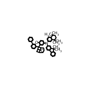 CC1(C)CCC(C)(C)c2cc(N(c3ccc4c(c3)C(C)(C)c3ccccc3-4)c3ccc4c(c3)C3(c5cccc(-c6ccccc6)c5O4)C4CC5CC6CC3C64C5)ccc21